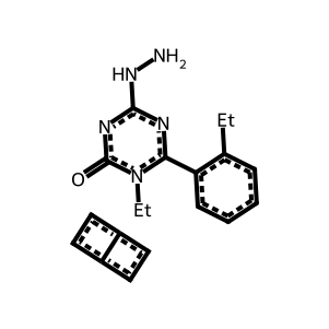 CCc1ccccc1-c1nc(NN)nc(=O)n1CC.c1cc2ccc1-2